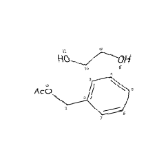 CC(=O)OCc1ccccc1.OCCO